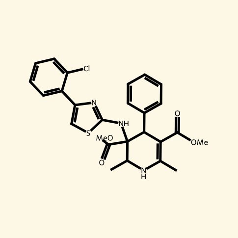 COC(=O)C1=C(C)NC(C)C(Nc2nc(-c3ccccc3Cl)cs2)(C(=O)OC)C1c1ccccc1